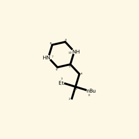 CCCCC(C)(CC)CC1CNCCN1